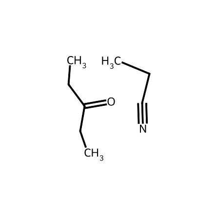 CCC#N.CCC(=O)CC